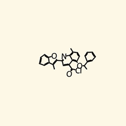 Cc1c(-c2cc(C(=O)Cl)c3c(OC(C)c4ccccc4)ccc(C)c3n2)oc2ccccc12